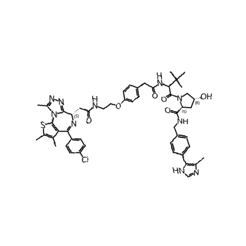 Cc1nc[nH]c1-c1ccc(CNC(=O)[C@@H]2C[C@@H](O)CN2C(=O)C(NC(=O)Cc2ccc(OCCNC(=O)C[C@@H]3N=C(c4ccc(Cl)cc4)c4c(sc(C)c4C)-n4c(C)nnc43)cc2)C(C)(C)C)cc1